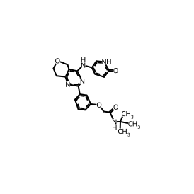 CC(C)(C)NC(=O)COc1cccc(-c2nc3c(c(Nc4ccc(=O)[nH]c4)n2)COCC3)c1